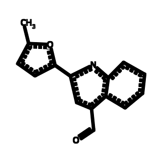 Cc1ccc(-c2cc(C=O)c3ccccc3n2)o1